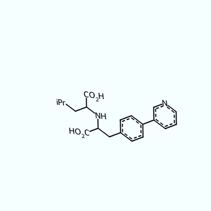 CC(C)CC(NC(Cc1ccc(-c2cccnc2)cc1)C(=O)O)C(=O)O